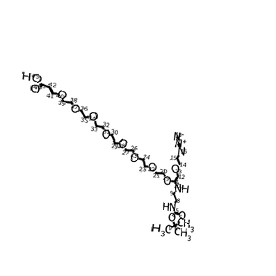 CC(C)(C)OC(=O)NCCNC(COCCN=[N+]=[N-])OCCOCCOCCOCCOCCOCCOCCOCCC(=O)O